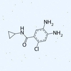 Nc1cc(Cl)c(C(=O)NC2CC2)cc1N